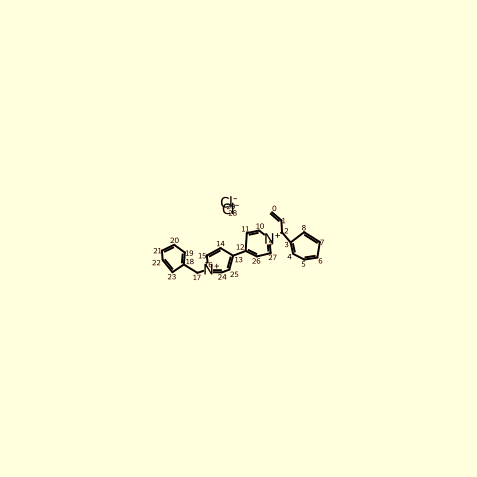 C=CC(c1ccccc1)[n+]1ccc(-c2cc[n+](Cc3ccccc3)cc2)cc1.[Cl-].[Cl-]